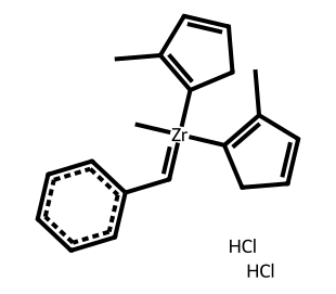 CC1=[C]([Zr]([CH3])(=[CH]c2ccccc2)[C]2=C(C)C=CC2)CC=C1.Cl.Cl